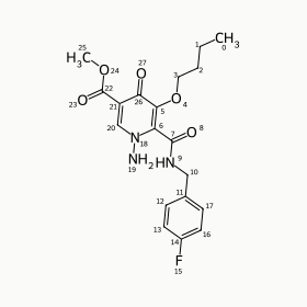 CCCCOc1c(C(=O)NCc2ccc(F)cc2)n(N)cc(C(=O)OC)c1=O